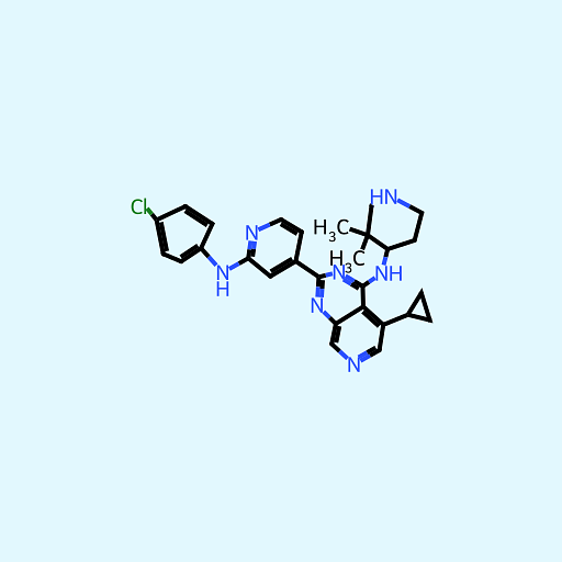 CC1(C)CNCCC1Nc1nc(-c2ccnc(Nc3ccc(Cl)cc3)c2)nc2cncc(C3CC3)c12